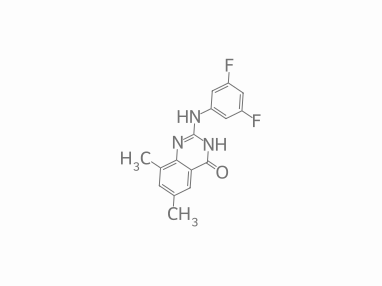 Cc1cc(C)c2nc(Nc3cc(F)cc(F)c3)[nH]c(=O)c2c1